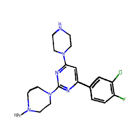 CCCN1CCN(c2nc(-c3ccc(F)c(Cl)c3)cc(N3CCNCC3)n2)CC1